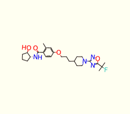 Cc1cc(OCCCC2CCN(c3noc(C(C)(C)F)n3)CC2)ccc1C(=O)N[C@@H]1CCC[C@H]1O